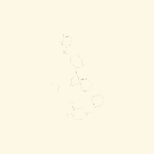 O=C1CN(Cc2cccc(-c3ccn4c(-c5cccc(Nc6nncs6)c5)cnc4c3)c2)CCN1.O=CO